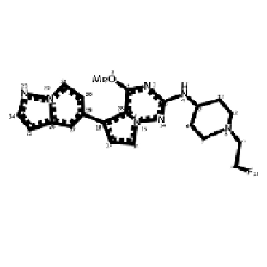 COc1nc(NC2CCN(CCF)CC2)nn2ccc(-c3ccn4nccc4c3)c12